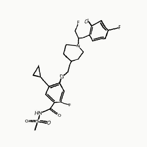 CS(=O)(=O)NC(=O)c1cc(C2CC2)c(OCC2CCN(C(CF)c3ccc(F)cc3Cl)CC2)cc1F